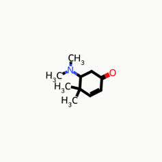 CN(C)C1CC(=O)C=CC1(C)C